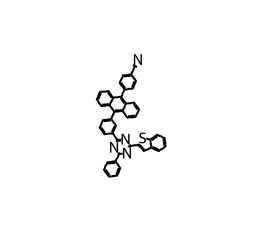 N#Cc1ccc(-c2c3ccccc3c(-c3cccc(-c4nc(-c5ccccc5)nc(-c5cc6ccccc6s5)n4)c3)c3ccccc23)cc1